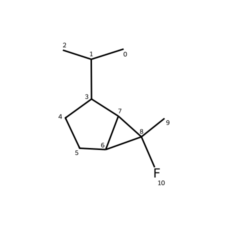 CC(C)C1CCC2C1C2(C)F